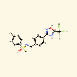 Cc1ccc(S(C)(=O)=NCc2ccc(-c3noc(C(F)(F)F)n3)cc2)cc1